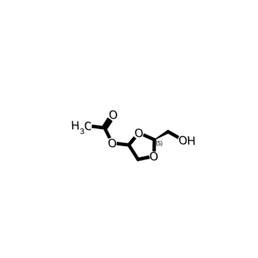 CC(=O)OC1CO[C@H](CO)O1